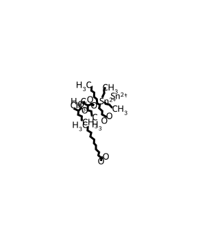 CCCCC(CC)C(=O)[O-].CCCCC(CC)C(=O)[O-].CCCCCCCCCCCC(=O)[O-].CCCCCCCCCCCC(=O)[O-].CCC[CH2][Sn+2][CH2]CCC.[Sn+2]